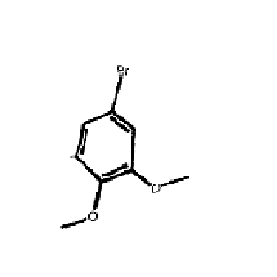 COc1[c]cc(Br)cc1OC